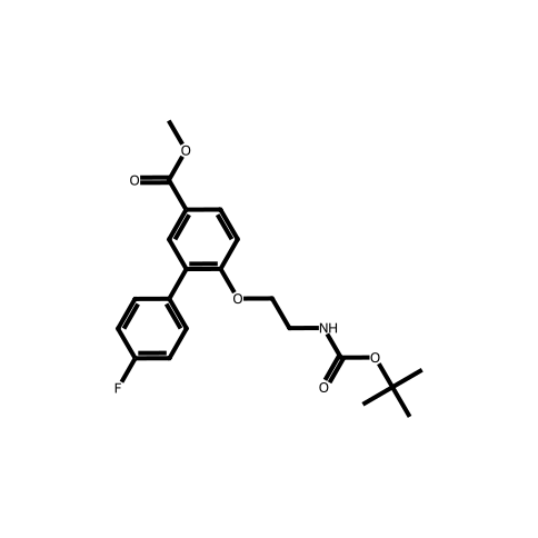 COC(=O)c1ccc(OCCNC(=O)OC(C)(C)C)c(-c2ccc(F)cc2)c1